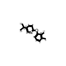 Cc1cccc(Oc2ccc(C(C)C)cn2)c1C